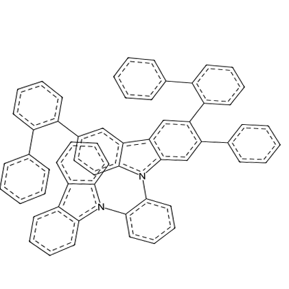 c1ccc(-c2ccccc2-c2ccc3c(c2)c2cc(-c4ccccc4-c4ccccc4)c(-c4ccccc4)cc2n3-c2ccccc2-n2c3ccccc3c3ccccc32)cc1